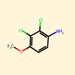 Nc1ccc(OC(F)(F)F)c(Cl)c1Cl